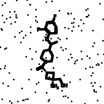 C=C([C@H]1C[C@](N)(CO)C1)N1CCC(C(C)Oc2ccc(F)cc2F)CC1